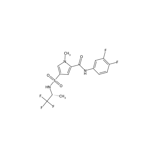 C[C@@H](NS(=O)(=O)c1cc(C(=O)Nc2ccc(F)c(F)c2)n(C)c1)C(F)(F)F